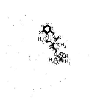 C=CC[C@]1(N(C)C(=O)NCc2cccc(F)c2F)SC1CO[Si](C)(C)C(C)(C)C